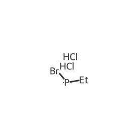 CC[P]Br.Cl.Cl